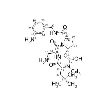 CN(C(=O)O)[C@@H](CC(C)(C)C)C(=O)N[C@@H](CN)C(=O)N1CCC[C@H]1C(=O)NCc1cccc(N)c1